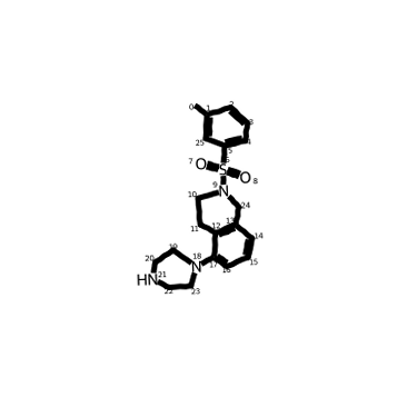 Cc1cccc(S(=O)(=O)N2CCc3c(cccc3N3CCNCC3)C2)c1